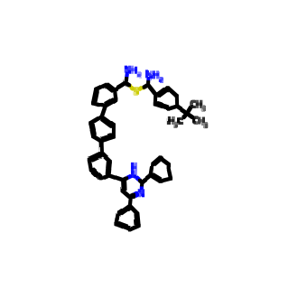 CC(C)(C)C1C=CC(C(N)SC(N)c2cccc(-c3ccc(-c4cccc(C5=CC(c6ccccc6)=NC(C6=CCCC=C6)N5)c4)cc3)c2)=CC1